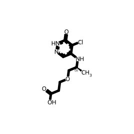 C[C@@H](COCCC(=O)O)Nc1cn[nH]c(=O)c1Cl